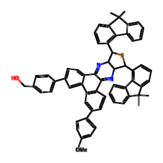 COc1ccc(-c2ccc3c4c(c5ccc(-c6ccc(CO)cc6)cc5c3c2)=NC2C(c3cccc5c3-c3ccccc3C5(C)C)SC(c3cccc5c3-c3ccccc3C5(C)C)C2N=4)cc1